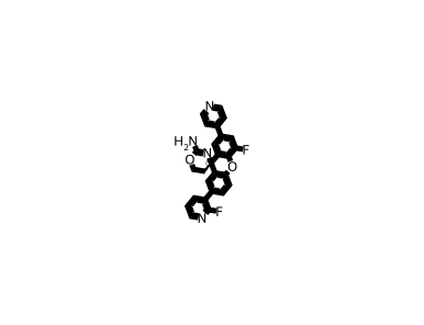 NC1=N[C@@]2(CCO1)c1cc(-c3cccnc3F)ccc1Oc1c(F)cc(-c3ccncc3)cc12